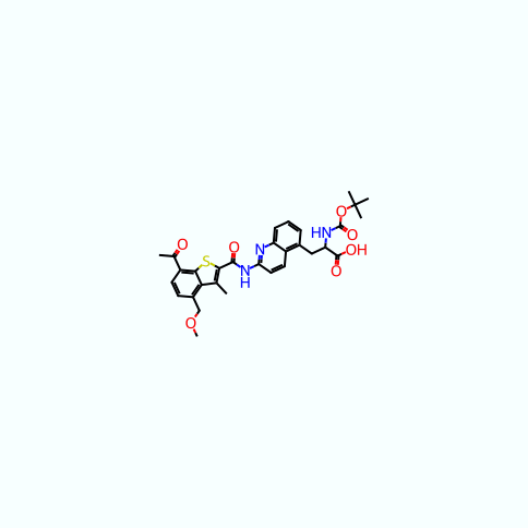 COCc1ccc(C(C)=O)c2sc(C(=O)Nc3ccc4c(CC(NC(=O)OC(C)(C)C)C(=O)O)cccc4n3)c(C)c12